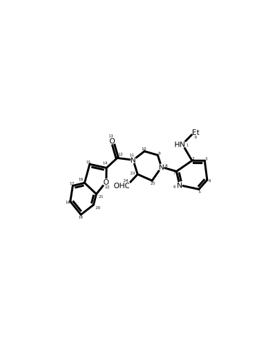 CCNc1cccnc1N1CCN(C(=O)c2cc3ccccc3o2)C(C=O)C1